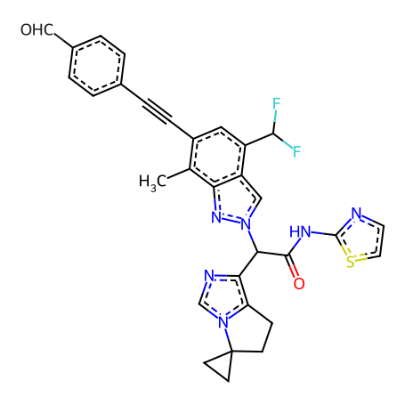 Cc1c(C#Cc2ccc(C=O)cc2)cc(C(F)F)c2cn(C(C(=O)Nc3nccs3)c3ncn4c3CCC43CC3)nc12